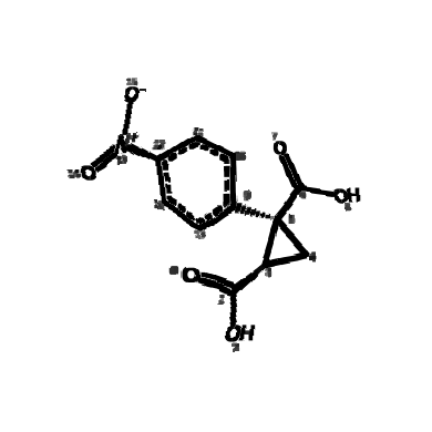 O=C(O)[C@@H]1C[C@@]1(C(=O)O)c1ccc([N+](=O)[O-])cc1